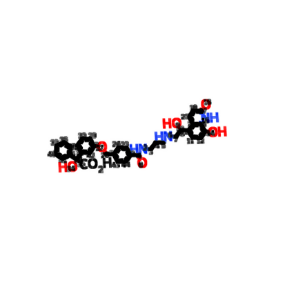 O=C(NCCCNC[C@H](O)c1ccc(O)c2[nH]c(=O)ccc12)c1ccc(COc2cccc([C@](O)(C(=O)O)c3ccccc3)c2)cc1